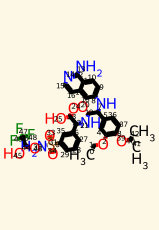 CCOc1cc(C(Nc2ccc3c(N)nccc3c2)C(=O)NC(C(=O)O)c2cccc(S(N)(=O)=O)c2)ccc1OC(C)C.O=C(O)C(F)(F)F